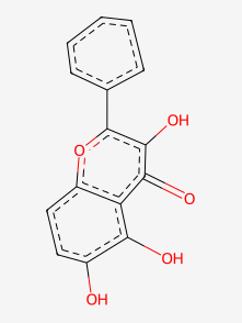 O=c1c(O)c(-c2ccccc2)oc2ccc(O)c(O)c12